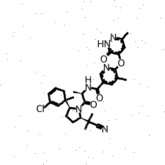 Cc1cc(Oc2ncc(C(=O)N[C@H](C)C(=O)N3[C@H](C4(C)C=C(Cl)C=CC4)CC[C@@H]3C(C)(C)C#N)cc2C)c(=O)[nH]n1